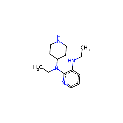 CCNc1cccnc1N(CC)C1CCNCC1